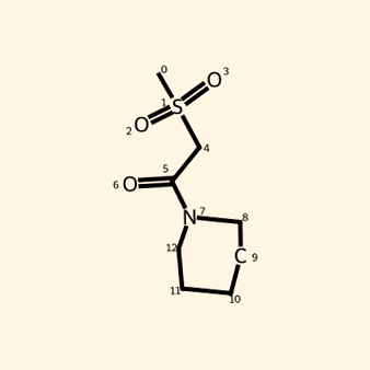 CS(=O)(=O)CC(=O)N1CCCCC1